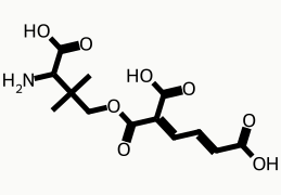 CC(C)(COC(=O)/C(=C/C=C/C(=O)O)C(=O)O)C(N)C(=O)O